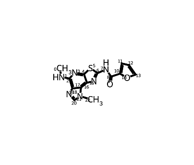 CNc1nc2sc(NC(=O)c3ccco3)nc2c2c1ncn2C